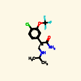 CC(C)NC[C@@H](C(N)=O)c1ccc(Cl)c(OC(F)(F)F)c1